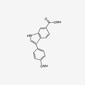 COC(=O)c1ccc2c(-c3ccc(OC)cc3)c[nH]c2c1